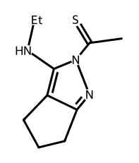 CCNc1c2c(nn1C(C)=S)CCC2